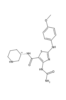 COc1ccc(Nc2nc(NC(N)=O)c(C(=O)N[C@H]3CCCNC3)s2)cc1